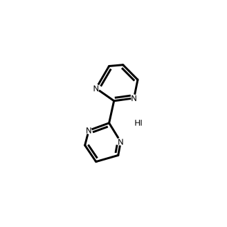 I.c1cnc(-c2ncccn2)nc1